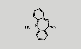 Cl.O=c1nc2ccccc2nc2ccccc12